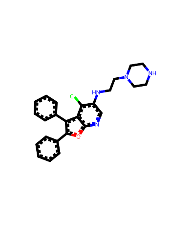 Clc1c(NCCN2CCNCC2)cnc2oc(-c3ccccc3)c(-c3ccccc3)c12